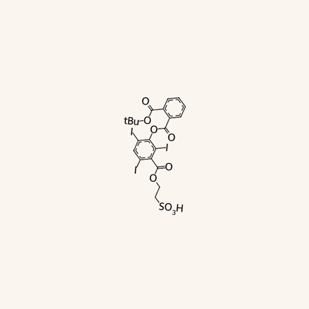 CC(C)(C)OC(=O)c1ccccc1C(=O)Oc1c(I)cc(I)c(C(=O)OCCS(=O)(=O)O)c1I